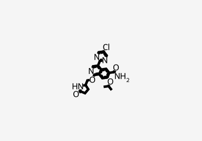 CC(C)Oc1cc2c(OCC3CCC(=O)N3)ncc(-c3ncc(Cl)cn3)c2cc1C(N)=O